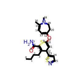 CCCCC1=C(C(N)=O)SC(OC2=CC=C(C)N(C)CC2)=CC1c1ccns1